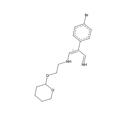 N=C/C(=C\NCCOC1CCCCO1)c1ccc(Br)cc1